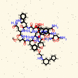 CNC(C(=O)NC(Cc1c[nH]c2ccccc12)C(=O)NC(CCC(N)=O)C(=O)NC(CSOC)C(=O)NC(Cc1ccc(OCCNC2CCCC(C3CCCC3)C2)cc1)C(=O)NC(Cc1ccc2ccccc2c1)C(=O)NC1(C(=O)NC(CCC(=O)O)C(=O)NC(CC(N)=O)C(=O)NC(CC(N)=O)C(N)=O)CCOCC1)C(C)O